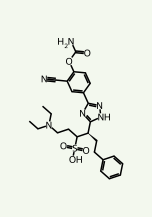 CCN(CC)CCC([C@H](CCc1ccccc1)c1nc(-c2ccc(OC(N)=O)c(C#N)c2)n[nH]1)S(=O)(=O)O